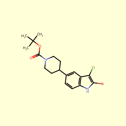 CC(C)(C)OC(=O)N1CCC(c2ccc3[nH]c(Br)c(Cl)c3c2)CC1